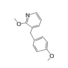 COc1ccc(Cc2cccnc2OC)cc1